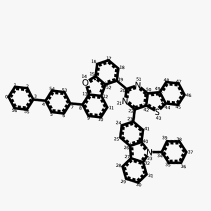 c1ccc(-c2ccc(-c3cccc4c3oc3cccc(-c5nc(-c6ccc7c8ccccc8n(-c8ccccc8)c7c6)c6sc7ccccc7c6n5)c34)cc2)cc1